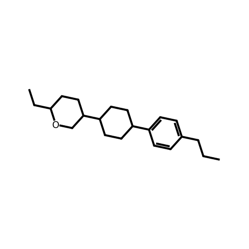 CCCc1ccc(C2CCC(C3CCC(CC)OC3)CC2)cc1